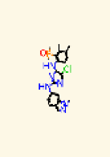 Cc1ccc(Nc2nc(Nc3ccc4cnn(C)c4c3)ncc2Cl)c(P(C)(C)=O)c1C